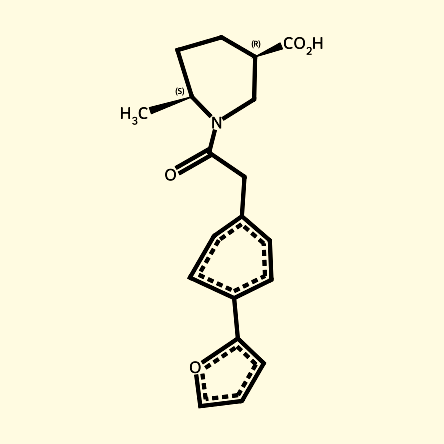 C[C@H]1CC[C@@H](C(=O)O)CN1C(=O)Cc1ccc(-c2ccco2)cc1